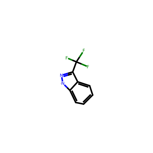 FC(F)(F)C1=N[N]c2ccccc21